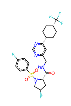 O=C(NCc1cc([C@H]2CC[C@@H](C(F)(F)F)CC2)ncn1)[C@@H]1C[C@@H](F)CN1S(=O)(=O)c1ccc(F)cc1